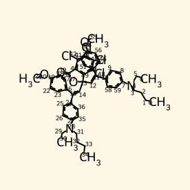 CCCCN(CC)c1ccc(C(=CC2(C=C(c3ccc(OC)cc3)c3ccc(N(CC)CCCC)cc3)OC(=O)c3c(Cl)c(Cl)c(Cl)c(Cl)c32)c2ccc(OC)cc2)cc1